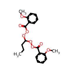 [CH2]CC[C](OOC(=O)c1ccccc1OC)OOC(=O)c1ccccc1OC